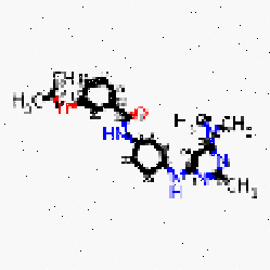 Cc1nc(NC2CCC(NC(=O)c3cccc(OC(C)C)c3)CC2)cc(N(C)C)n1